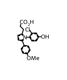 COc1ccc(-c2ccc(CCC(=O)O)n2-c2ccc(O)cc2Cl)cc1